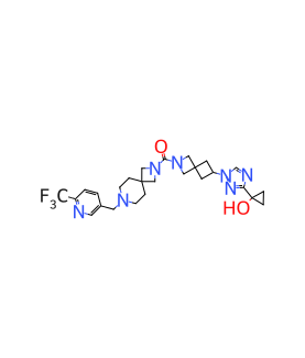 O=C(N1CC2(CCN(Cc3ccc(C(F)(F)F)nc3)CC2)C1)N1CC2(CC(n3cnc(C4(O)CC4)n3)C2)C1